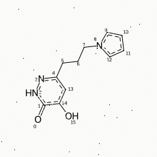 O=c1[nH]nc(CCCn2cccc2)cc1O